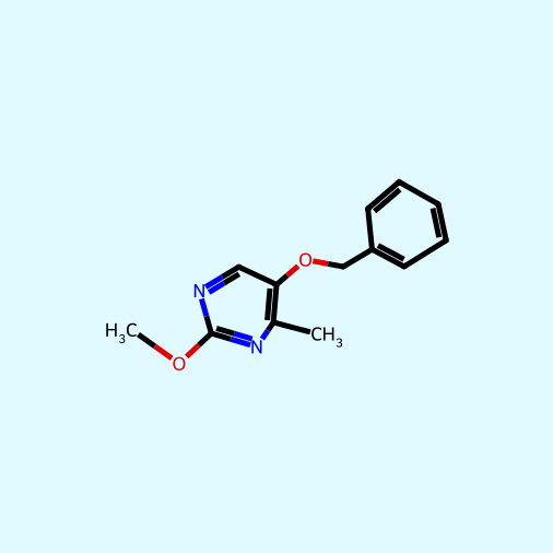 COc1ncc(OCc2ccccc2)c(C)n1